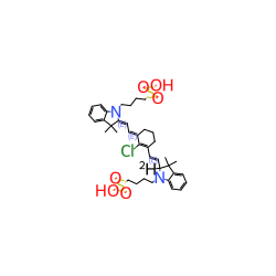 [2H]C1(/C=C/C2=C(Cl)C(=C/C=C3/N(CCCCS(=O)(=O)O)c4ccccc4C3(C)C)/CCC2)N(CCCCS(=O)(=O)O)c2ccccc2C1(C)C